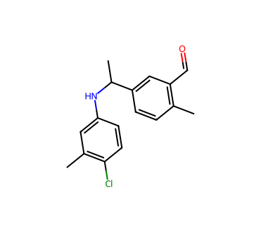 Cc1cc(NC(C)c2ccc(C)c(C=O)c2)ccc1Cl